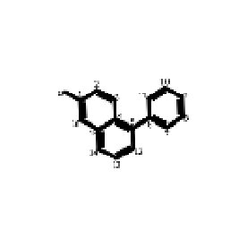 Cc1ccc2c(-c3ccccc3)cccc2c1